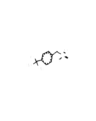 CC(C)(C)c1ccc(CS(=O)(=O)Cl)cc1